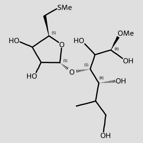 CO[C@@H](O)C(O)[C@@H](O[C@H]1O[C@H](CSC)C(O)C1O)[C@H](O)C(C)CO